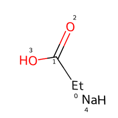 CCC(=O)O.[NaH]